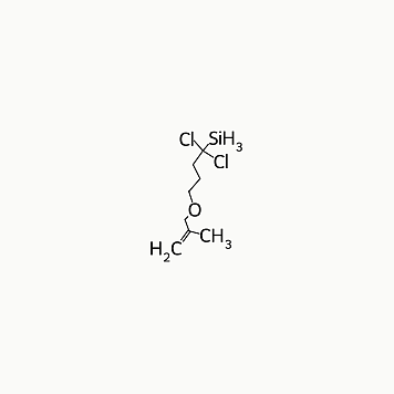 C=C(C)COCCCC([SiH3])(Cl)Cl